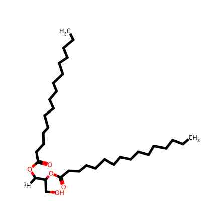 [2H]C(OC(=O)CCCCCCCCCCCCCCC)C(CO)OC(=O)CCCCCCCCCCCCCCC